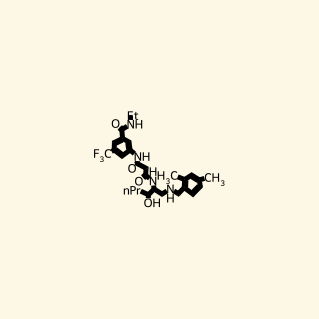 CCCC(O)C(CNCc1ccc(C)cc1C)NC(=O)CC(=O)Nc1cc(C(=O)NCC)cc(C(F)(F)F)c1